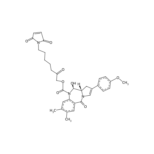 COc1ccc(C2=CN3C(=O)c4cc(C)c(C)cc4N(C(=O)OCC(=O)CCCCCN4C(=O)C=CC4=O)[C@@H](O)[C@@H]3C2)cc1